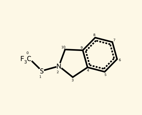 FC(F)(F)SN1Cc2ccccc2C1